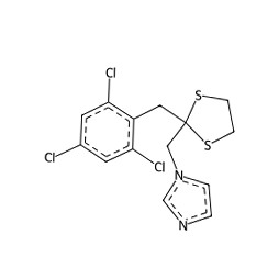 Clc1cc(Cl)c(CC2(Cn3ccnc3)SCCS2)c(Cl)c1